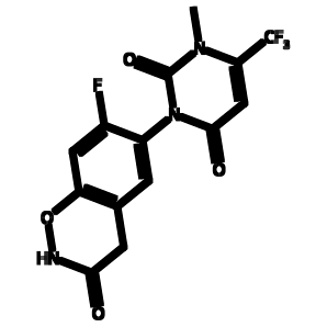 Cn1c(C(F)(F)F)cc(=O)n(-c2cc3c(cc2F)ONC(=O)C3)c1=O